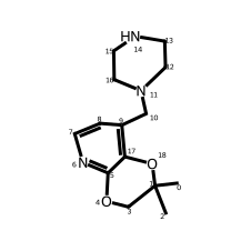 CC1(C)COc2nccc(CN3CCNCC3)c2O1